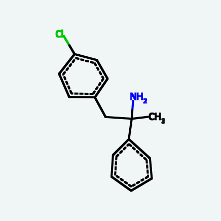 CC(N)(Cc1ccc(Cl)cc1)c1ccccc1